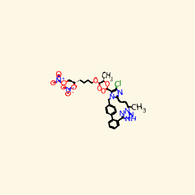 CCCCc1nc(Cl)c(C(=O)O[C@@H](C)C(=O)OCCCC[C@@H](CO[N+](=O)[O-])O[N+](=O)[O-])n1Cc1ccc(-c2ccccc2-c2nnn[nH]2)cc1